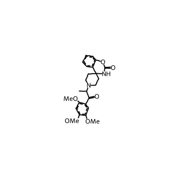 COc1cc(OC)c(C(=O)C(C)N2CCC3(CC2)NC(=O)Oc2ccccc23)cc1OC